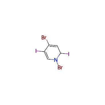 BrC1=CC(I)N(Br)C=C1I